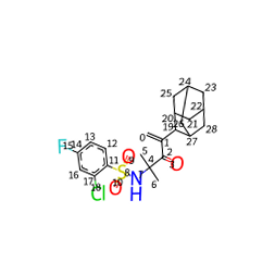 C=C(C(=O)C(C)(C)NS(=O)(=O)c1ccc(F)cc1Cl)C1C2CC3CC(C2)CC1C3